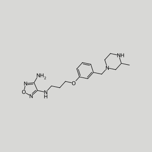 CC1CN(Cc2cccc(OCCCNc3nonc3N)c2)CCN1